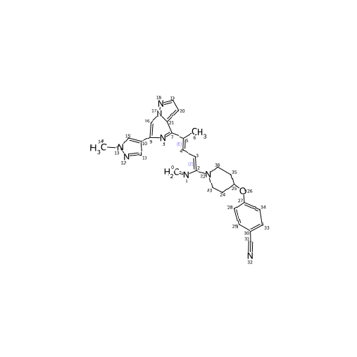 C=N/C(=C\C=C(/C)c1nc(-c2cnn(C)c2)cn2nccc12)N1CCC(Oc2ccc(C#N)cc2)CC1